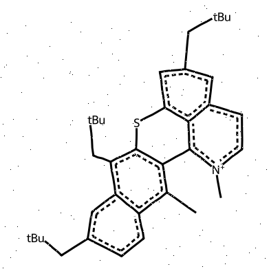 Cc1c2c(c(CC(C)(C)C)c3cc(CC(C)(C)C)ccc13)Sc1cc(CC(C)(C)C)cc3cc[n+](C)c-2c13